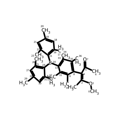 CO/C(C)=C(\C(C)=O)c1c(C)c(C)c(B(c2c(C)cc(C)cc2C)c2c(C)cc(C)cc2C)c(C)c1C